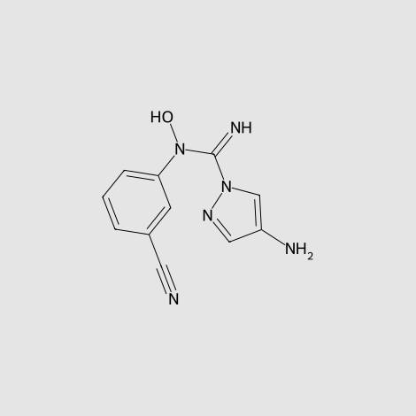 N#Cc1cccc(N(O)C(=N)n2cc(N)cn2)c1